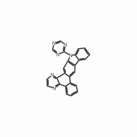 c1ccc2c(c1)c1cc3c4ccccc4n(-c4ncncn4)c3cc1c1nccnc21